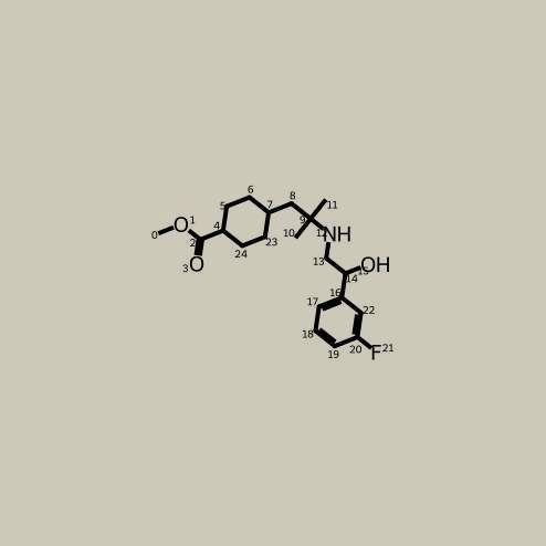 COC(=O)C1CCC(CC(C)(C)NCC(O)c2cccc(F)c2)CC1